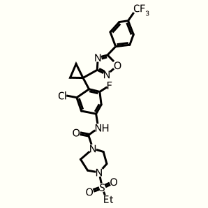 CCS(=O)(=O)N1CCN(C(=O)Nc2cc(F)c(C3(c4noc(-c5ccc(C(F)(F)F)cc5)n4)CC3)c(Cl)c2)CC1